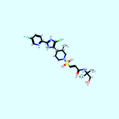 C[C@H]1CN(S(=O)(=O)C=CC(=O)NC(C)(C)CO)CC[C@H]1c1[nH]c(-c2ccc(F)cn2)nc1Cl